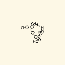 CC1(C)CCC(Cc2ccc(-c3ccc(C(=O)O)c(Oc4cnc5[nH]ccc5c4)c3)cc2)=C(c2ccc(Cl)cc2)C1